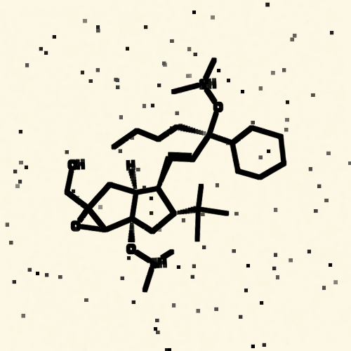 CCCC[C@](C=C[C@H]1[C@H](C(C)(C)C)C[C@@]2(O[SiH](C)C)C3OC3(CO)C[C@@H]12)(O[SiH](C)C)C1CCCCC1